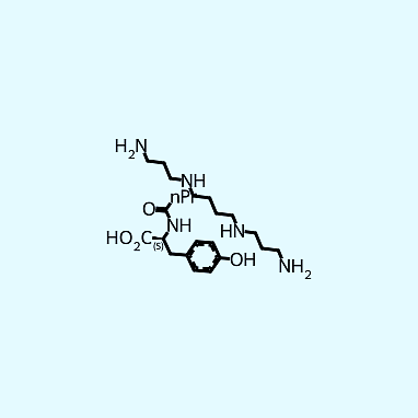 CCCC(=O)N[C@@H](Cc1ccc(O)cc1)C(=O)O.NCCCNCCCCNCCCN